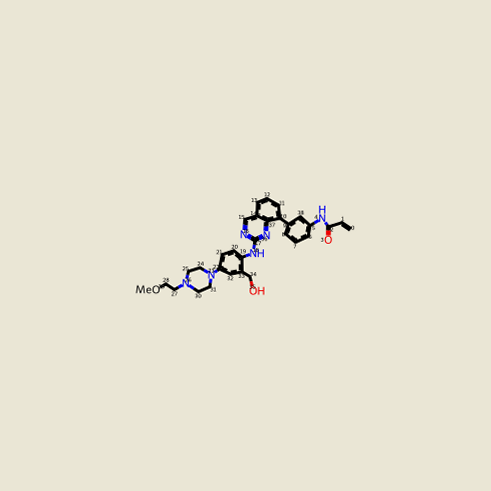 C=CC(=O)Nc1cccc(-c2cccc3cnc(Nc4ccc(N5CCN(CCOC)CC5)cc4CO)nc23)c1